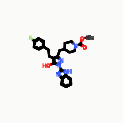 CC(C)(C)OC(=O)N1CCC(Cc2nn(-c3nc4ccccc4[nH]3)c(O)c2CCc2ccc(F)cc2)CC1